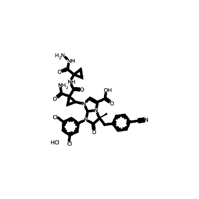 C[C@@]1(Cc2ccc(C#N)cc2)C(=O)N(c2cc(Cl)cc(Cl)c2)C2N(C3CC3(C(N)=O)C(=O)NC3(C(=O)NN)CC3)C=C(C(=O)O)N21.Cl